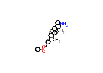 CC1C(C2=CCC(COC(=O)c3ccccc3)CC2)=CCC2(C)C1CCC1(C)C2CCC2C3CCCC3(N)CC[C@]21C